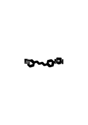 C/C=C\C(=C/CC)CCCCc1ccc(-n2ccnc2)cc1